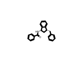 O=C(N[C@H]1C[C@@H](Cc2ccccc2)c2ccccc21)c1ccccc1